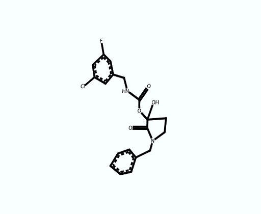 O=C(NCc1cc(F)cc(Cl)c1)OC1(O)CCN(Cc2ccccc2)C1=O